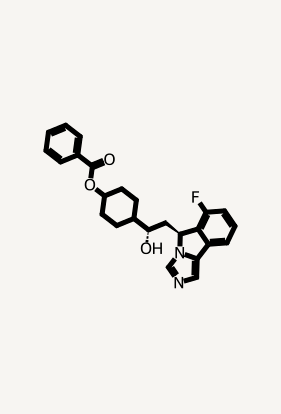 O=C(OC1CCC([C@@H](O)C[C@H]2c3c(F)cccc3-c3cncn32)CC1)c1ccccc1